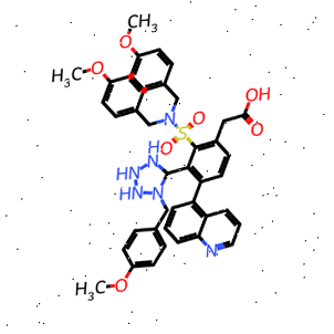 COc1ccc(CN2NNNC2c2c(-c3cccc4ncccc34)ccc(CC(=O)O)c2S(=O)(=O)N(Cc2ccc(OC)cc2)Cc2ccc(OC)cc2)cc1